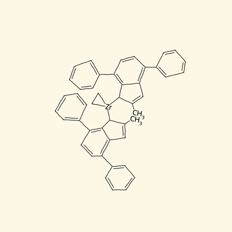 CC1=Cc2c(-c3ccccc3)ccc(-c3ccccc3)c2[CH]1[Zr]1([CH]2C(C)=Cc3c(-c4ccccc4)ccc(-c4ccccc4)c32)[CH2][CH2]1